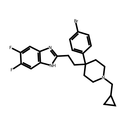 Fc1cc2nc(CCC3(c4ccc(Br)cc4)CCN(CC4CC4)CC3)[nH]c2cc1F